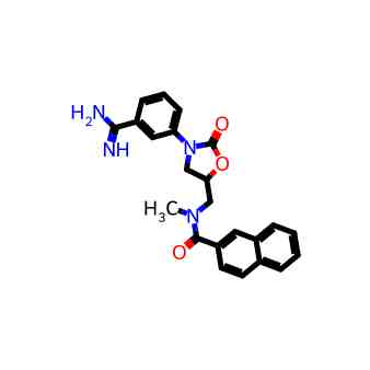 CN(CC1CN(c2cccc(C(=N)N)c2)C(=O)O1)C(=O)c1ccc2ccccc2c1